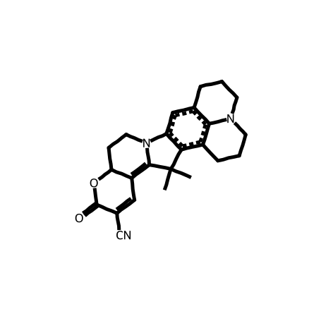 CC1(C)C2=C3C=C(C#N)C(=O)OC3CCN2c2cc3c4c(c21)CCCN4CCC3